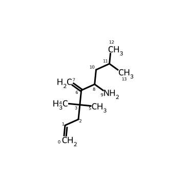 C=CCC(C)(C)C(=C)C(N)CC(C)C